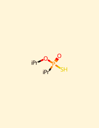 CC(C)OP(=O)(S)C(C)C